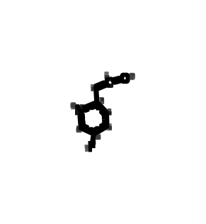 O=C=Cc1ccc(F)cn1